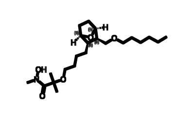 CCCCCCOC[C@H]1[C@@H](CCCCOC(C)(C)C(=O)N(C)O)[C@H]2CC[C@@H]1O2